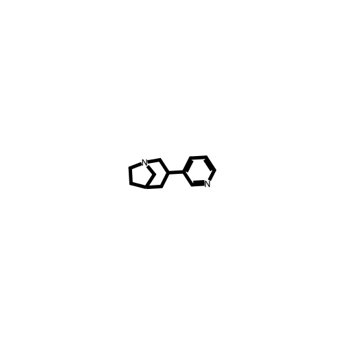 c1cncc(C2CC3CCN(C3)C2)c1